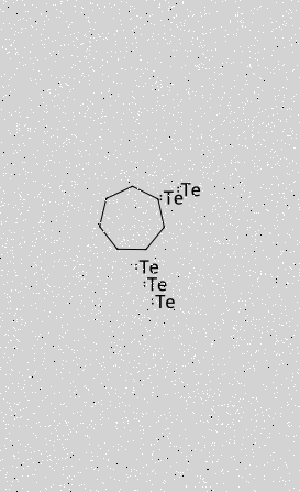 C1CCCCCC1.[Te].[Te].[Te].[Te].[Te]